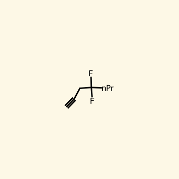 C#CCC(F)(F)CCC